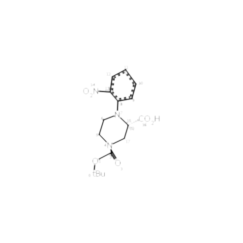 CC(C)(C)OC(=O)N1CCN(c2ccccc2[N+](=O)[O-])[C@H](C(=O)O)C1